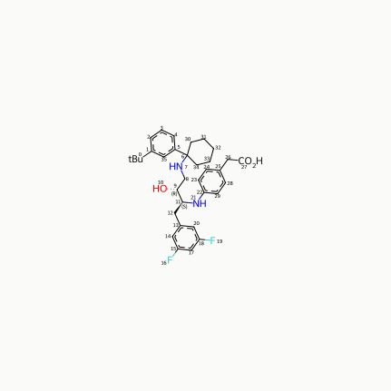 CC(C)(C)c1cccc(C2(NC[C@@H](O)[C@H](Cc3cc(F)cc(F)c3)Nc3ccc(CC(=O)O)cc3)CCCCC2)c1